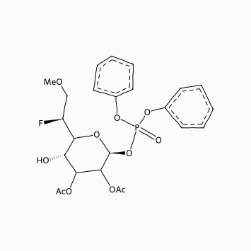 COC[C@H](F)C1O[C@@H](OP(=O)(Oc2ccccc2)Oc2ccccc2)C(OC(C)=O)C(OC(C)=O)[C@@H]1O